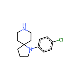 Clc1ccc(N2CCCC23CCNCC3)cc1